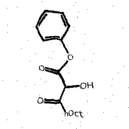 CCCCCCCCC(=O)C(O)C(=O)Oc1ccccc1